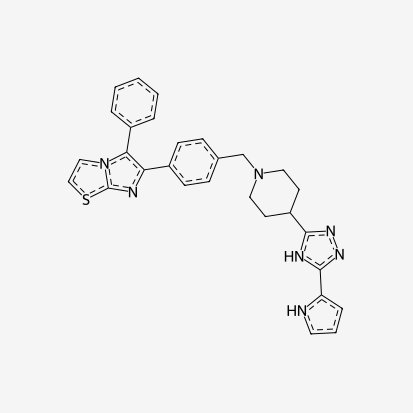 c1ccc(-c2c(-c3ccc(CN4CCC(c5nnc(-c6ccc[nH]6)[nH]5)CC4)cc3)nc3sccn23)cc1